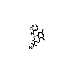 Cc1cc(C)c(OC(=O)C(C)(C)Br)c(CN(C)c2ccccn2)c1